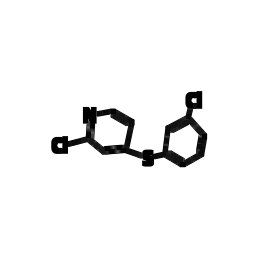 Clc1cccc(Sc2ccnc(Cl)c2)c1